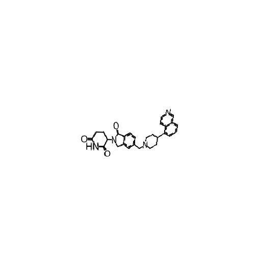 O=C1CCC(N2Cc3cc(CN4CCC(c5cccc6cnccc56)CC4)ccc3C2=O)C(=O)N1